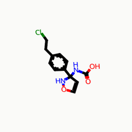 O=C(O)NC1(c2ccc(CCCl)cc2)C=CON1